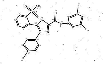 CS(=O)(=O)c1ccccc1-c1sc(C(=O)Nc2cc(F)cc(F)c2)nc1-c1ccc(F)cc1